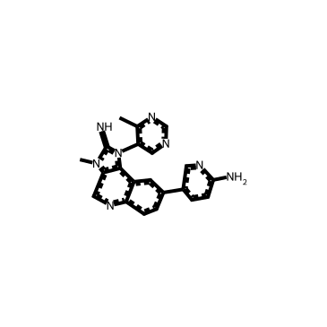 Cc1ncncc1-n1c(=N)n(C)c2cnc3ccc(-c4ccc(N)nc4)cc3c21